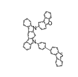 c1ccc2c(c1)oc1ccc(-n3c4ccccc4c4cc5c6ccccc6n(-c6ccc(-c7ccc8sc9ccccc9c8c7)cc6)c5cc43)cc12